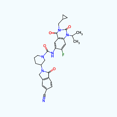 CC(C)n1c(=O)n(CC2CC2)c(=O)c2cc(NC(=O)N3CCCC(N4Cc5cc(C#N)ccc5C4=O)C3)c(F)cc21